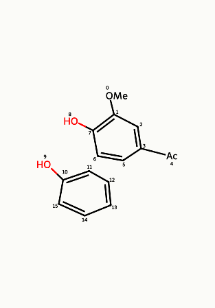 COc1cc(C(C)=O)ccc1O.Oc1ccccc1